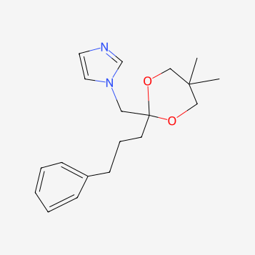 CC1(C)COC(CCCc2ccccc2)(Cn2ccnc2)OC1